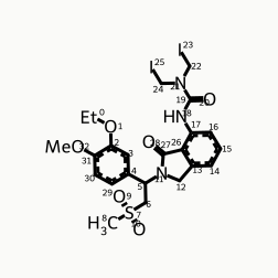 CCOc1cc(C(CS(C)(=O)=O)N2Cc3cccc(NC(=O)N(CI)CI)c3C2=O)ccc1OC